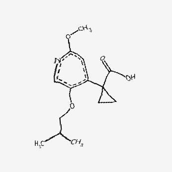 COc1cc(C2(C(=O)O)CC2)c(OCC(C)C)cn1